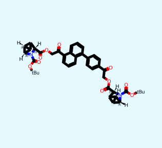 CC(C)(C)OC(=O)N1[C@H](C(=O)OCC(=O)c2ccc(-c3cccc4c(C(=O)COC(=O)[C@@H]5C6C7[C@H]6[C@@H]7N5C(=O)OC(C)(C)C)cccc34)cc2)C2C3[C@H]2[C@@H]31